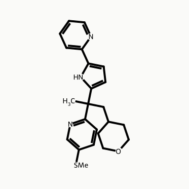 CSc1ccc(C(C)(CC2CCOCC2)c2ccc(-c3ccccn3)[nH]2)nc1